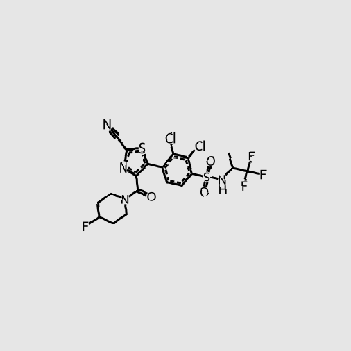 CC(NS(=O)(=O)c1ccc(-c2sc(C#N)nc2C(=O)N2CCC(F)CC2)c(Cl)c1Cl)C(F)(F)F